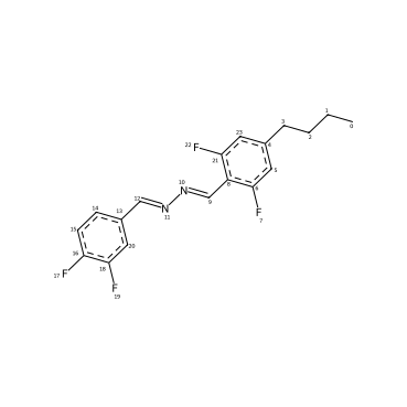 CCCCc1cc(F)c(C=NN=Cc2ccc(F)c(F)c2)c(F)c1